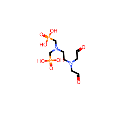 O=CCN(CC=O)CCN(CP(=O)(O)O)CP(=O)(O)O